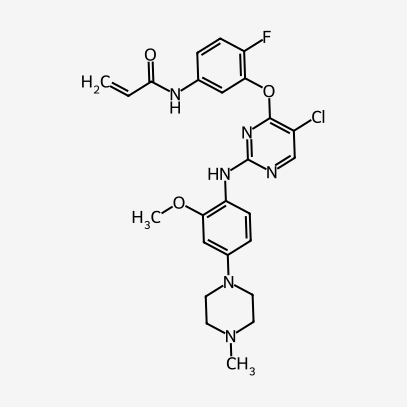 C=CC(=O)Nc1ccc(F)c(Oc2nc(Nc3ccc(N4CCN(C)CC4)cc3OC)ncc2Cl)c1